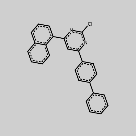 Clc1nc(-c2ccc(-c3ccccc3)cc2)cc(-c2cccc3ccccc23)n1